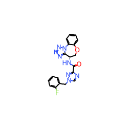 O=C(N[C@H]1COc2ccccc2-n2nnnc21)c1ncn(Cc2ccccc2F)n1